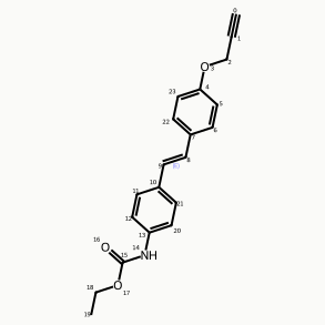 C#CCOc1ccc(/C=C/c2ccc(NC(=O)OCC)cc2)cc1